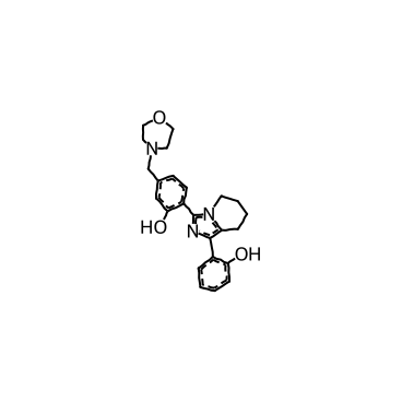 Oc1ccccc1-c1nc(-c2ccc(CN3CCOCC3)cc2O)n2c1CCCC2